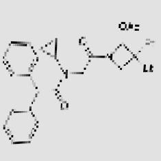 CCC1(CC)CN(C(=O)CN(C(=O)C(c2ccccc2)c2ccccc2)C2CC2)C1OC(C)=O